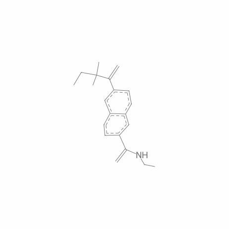 C=C(NCC)c1ccc2cc(C(=C)C(C)(C)CC)ccc2c1